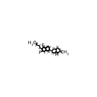 C/C=C/CCc1c(F)cc2cc([C@@H]3CC[C@@H]4CC(C)CCC4C3)ccc2c1F